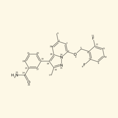 Cc1cc(OCc2c(F)cccc2F)n2nc(C)c(-c3cccc(C(N)=O)c3)c2c1